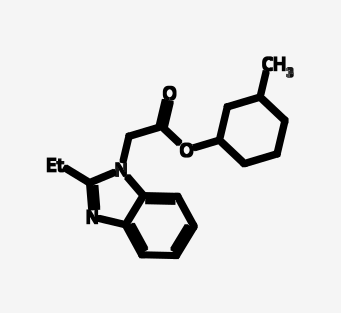 CCc1nc2ccccc2n1CC(=O)OC1CCCC(C)C1